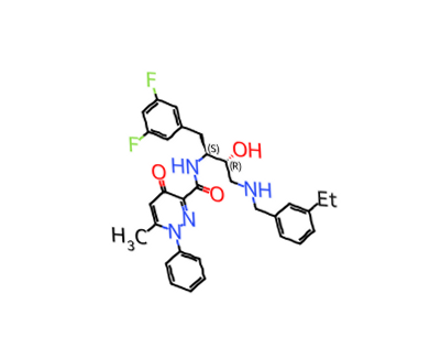 CCc1cccc(CNC[C@@H](O)[C@H](Cc2cc(F)cc(F)c2)NC(=O)c2nn(-c3ccccc3)c(C)cc2=O)c1